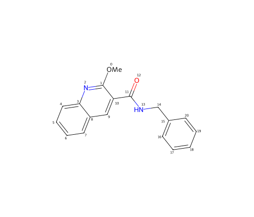 COc1nc2ccccc2cc1C(=O)NCc1ccccc1